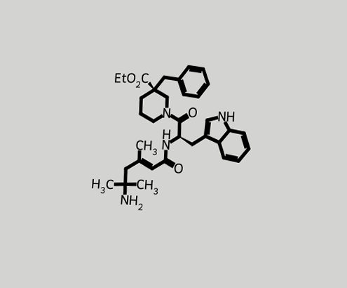 CCOC(=O)[C@]1(Cc2ccccc2)CCCN(C(=O)[C@@H](CC2=CNC3C=CC=CC23)NC(=O)/C=C(\C)CC(C)(C)N)C1